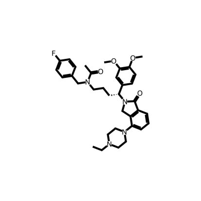 CCN1CCN(c2cccc3c2CN([C@H](CCCN(Cc2ccc(F)cc2)C(C)=O)c2ccc(OC)c(OC)c2)C3=O)CC1